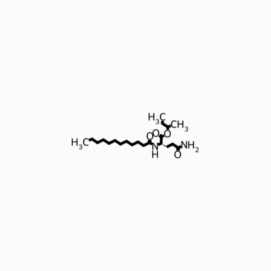 CCCCCCCCCCCC(=O)N[C@@H](CCC(N)=O)C(=O)OC(C)CC